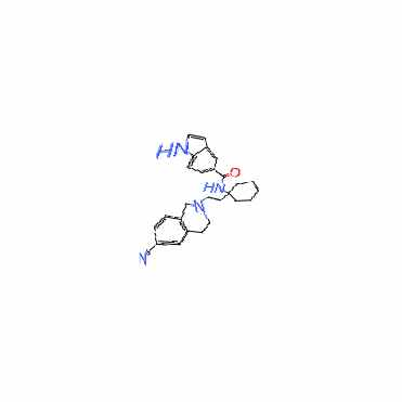 N#Cc1ccc2c(c1)CCN(CCC1(NC(=O)c3ccc4[nH]ccc4c3)CCCCC1)C2